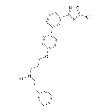 CCN(CCCOc1ccc(-c2cc(-c3noc(C(F)(F)F)n3)ccn2)nc1)CCc1ccccc1